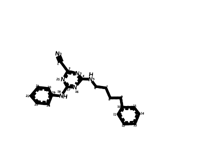 N#Cc1nc(NCCCCc2ccccc2)nc(Nc2ccccc2)n1